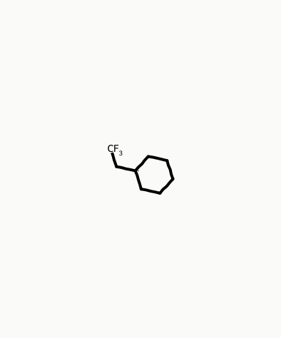 FC(F)(F)C[C]1CCCCC1